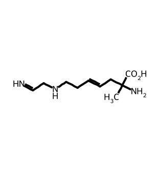 CC(N)(CC=CCCNCC=N)C(=O)O